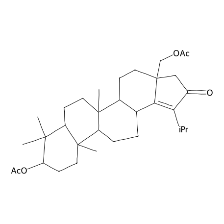 CC(=O)OCC12CCC3C(CCC4C3(C)CCC3C(C)(C)C(OC(C)=O)CCC34C)C1=C(C(C)C)C(=O)C2